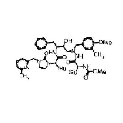 CCC(C)C(C(=O)NC(Cc1ccccc1)C(O)CN(Cc1ccc(OC)c(C)c1)NC(=O)C(NC(=O)OC)C(C)(C)C)N1CCN(Cc2cccc(C)n2)C1=O